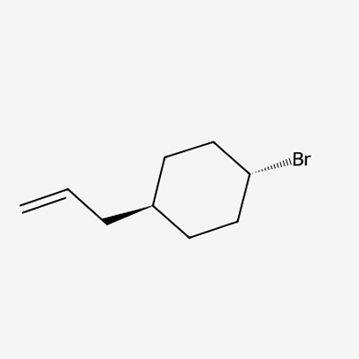 C=CC[C@H]1CC[C@H](Br)CC1